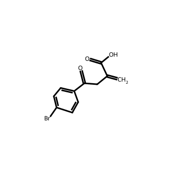 C=C(CC(=O)c1ccc(Br)cc1)C(=O)O